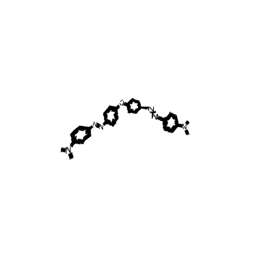 CN(C)c1ccc(N=Nc2ccc(Oc3ccc(N=Nc4ccc(N(C)C)cc4)cc3)cc2)cc1